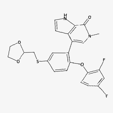 Cn1cc(-c2cc(SCC3OCCO3)ccc2Oc2ccc(F)cc2F)c2cc[nH]c2c1=O